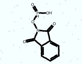 O=C1c2ccccc2C(=O)N1O[PH](=O)O